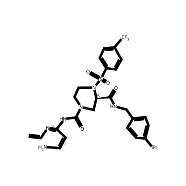 C=C/N=C(\C=C/N)NC(=O)N1CCN(S(=O)(=O)c2ccc(C(F)(F)F)cc2)[C@@H](C(=O)NCc2ccc(C(C)C)cc2)C1